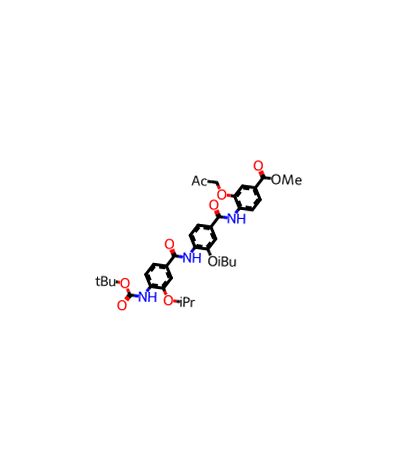 COC(=O)c1ccc(NC(=O)c2ccc(NC(=O)c3ccc(NC(=O)OC(C)(C)C)c(OC(C)C)c3)c(OCC(C)C)c2)c(OCC(C)=O)c1